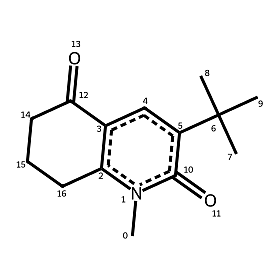 Cn1c2c(cc(C(C)(C)C)c1=O)C(=O)CCC2